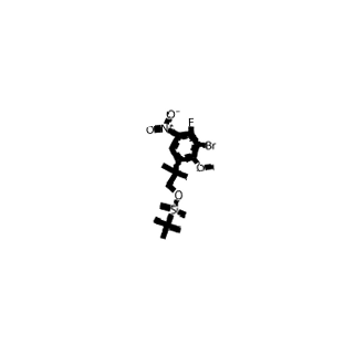 COc1c(C(C)(C)CO[Si](C)(C)C(C)(C)C)cc([N+](=O)[O-])c(F)c1Br